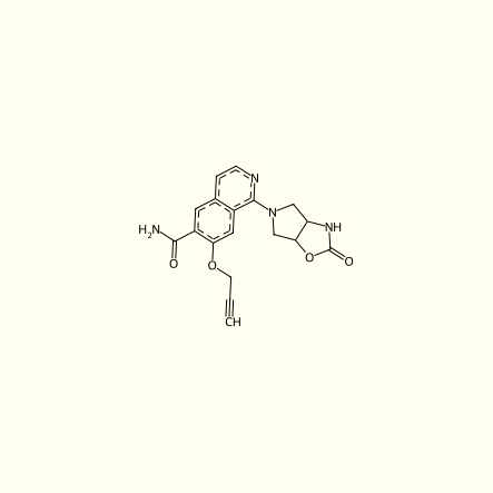 C#CCOc1cc2c(N3CC4NC(=O)OC4C3)nccc2cc1C(N)=O